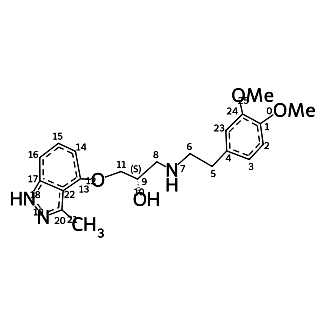 COc1ccc(CCNC[C@H](O)COc2cccc3[nH]nc(C)c23)cc1OC